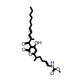 CCCCCC/C=C/C=C(\C)C(=O)c1c(O)cc(C(C)CC/C=C/NC(=O)OC)oc1=O